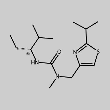 CC[C@@H](NC(=O)N(C)Cc1csc(C(C)C)n1)C(C)C